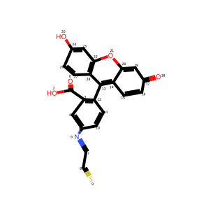 O=C(O)c1cc(N=CC=S)ccc1-c1c2ccc(=O)cc-2oc2cc(O)ccc12